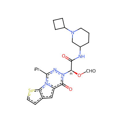 CC(C)c1nn([C@H](OC=O)C(=O)NC2CCCN(C3CCC3)C2)c(=O)c2cc3ccsc3n12